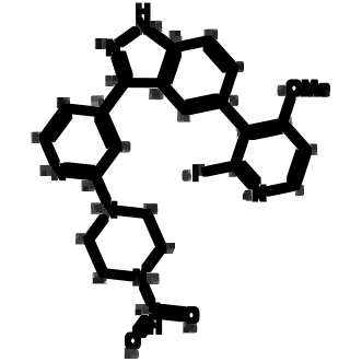 COc1ccnc(F)c1-c1ccc2[nH]nc(-c3ccnc(N4CCN([SH](=O)=O)CC4)c3)c2c1